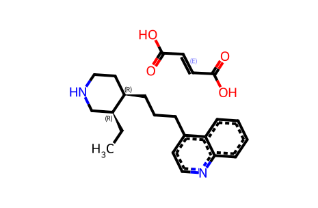 CC[C@H]1CNCC[C@H]1CCCc1ccnc2ccccc12.O=C(O)/C=C/C(=O)O